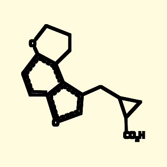 O=C(O)C1CC1Cc1coc2ccc3c(c12)CCCO3